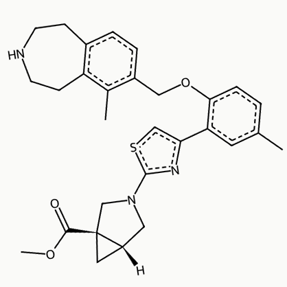 COC(=O)[C@]12C[C@H]1CN(c1nc(-c3cc(C)ccc3OCc3ccc4c(c3C)CCNCC4)cs1)C2